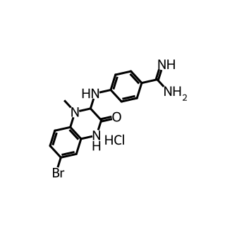 CN1c2ccc(Br)cc2NC(=O)C1Nc1ccc(C(=N)N)cc1.Cl